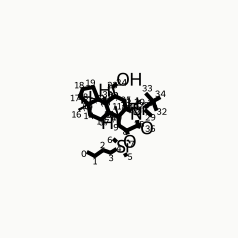 CCCC[Si](C)(C)OC1C[C@]2(C)[C@H]3CC[C@]4(C)CCC[C@H]4[C@@H]3[C@@H](CO)C[C@H]2N([Si](C)(C)C(C)(C)C)C1=O